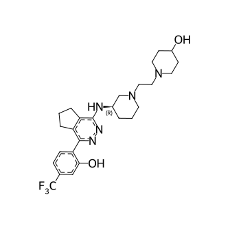 Oc1cc(C(F)(F)F)ccc1-c1nnc(N[C@@H]2CCCN(CCN3CCC(O)CC3)C2)c2c1CCC2